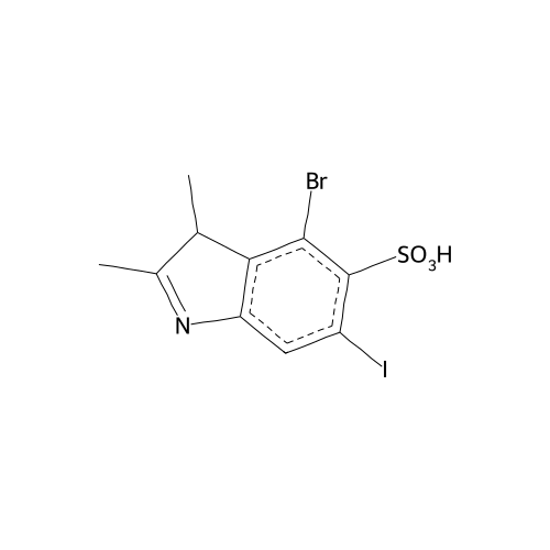 CC1=Nc2cc(I)c(S(=O)(=O)O)c(Br)c2C1C